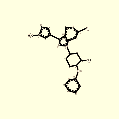 Cn1cc(-c2nn(C3CCC(Oc4ccccc4)C(O)C3)c3cc(Cl)ncc23)cn1